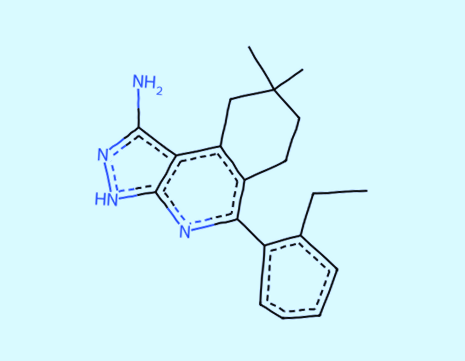 CCc1ccccc1-c1nc2[nH]nc(N)c2c2c1CCC(C)(C)C2